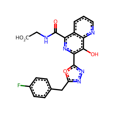 O=C(O)CNC(=O)c1nc(-c2nnc(Cc3ccc(F)cc3)o2)c(O)c2ncccc12